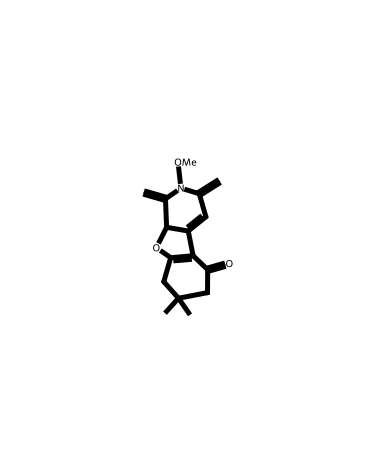 C=C1C=C2C3=C(CC(C)(C)CC3=O)OC2C(=C)N1OC